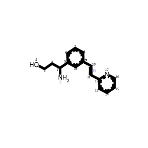 NC(CCO)c1cccc(/C=C/c2ccccn2)c1